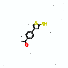 CC(=O)c1ccc(-c2csc(S)c2)cc1